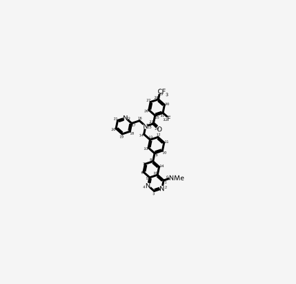 CNc1ncnc2ccc(-c3cccc(CN(Cc4ccccn4)C(=O)c4ccc(C(F)(F)F)cc4F)c3)cc12